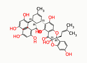 CC(C)=CC[C@]12Oc3cc(O)c([C@H]4C=C(C)C[C@H](c5ccc(O)cc5O)[C@H]4C(=O)c4ccc(O)cc4O)c(O)c3C(=O)[C@@]1(O)Oc1cc(O)ccc12